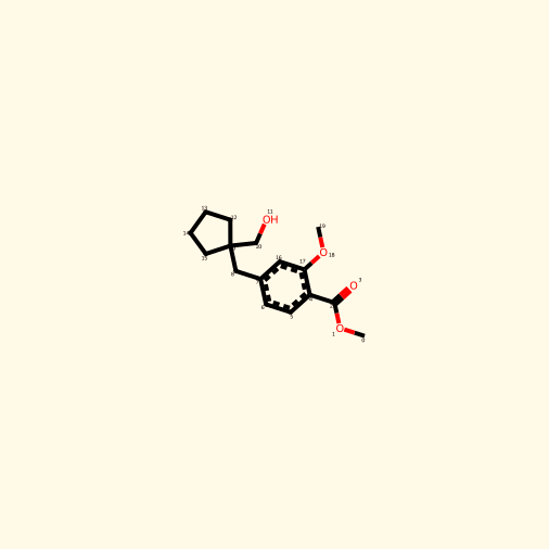 COC(=O)c1ccc(CC2(CO)CCCC2)cc1OC